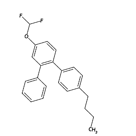 CCCCc1ccc(-c2ccc(OC(F)F)cc2-c2ccccc2)cc1